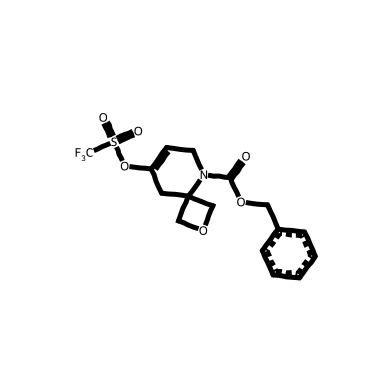 O=C(OCc1ccccc1)N1CC=C(OS(=O)(=O)C(F)(F)F)CC12COC2